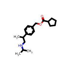 CC(C)NCC(C)c1ccc(COC(=O)C2CCCC2)cc1